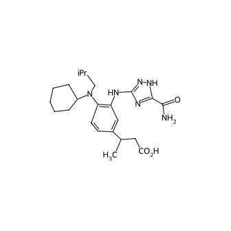 CC(C)CN(c1ccc(C(C)CC(=O)O)cc1Nc1n[nH]c(C(N)=O)n1)C1CCCCC1